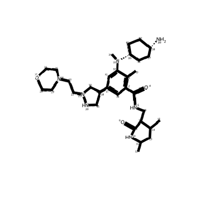 Cc1c(C(=O)NCC2C(=O)NC(C)CC2C)cc(C2CNN(CCN3CCOCC3)C2)cc1N(C)[C@H]1CC[C@@H](N)CC1